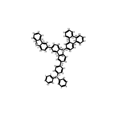 c1ccc(N(c2ccccc2)c2ccc(-c3ccc4c(c3)c3cc(-c5ccc6sc7ccccc7c6c5)ccc3n4-c3ccc4c5ccccc5c5ccccc5c4c3)cc2)cc1